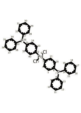 [Cl][Pd]([Cl])([c]1ccc(P(c2ccccc2)c2ccccc2)cc1)[c]1ccc(P(c2ccccc2)c2ccccc2)cc1